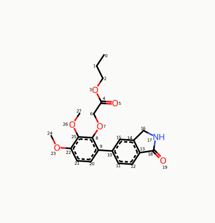 CCCOC(=O)COc1c(-c2ccc3c(c2)CNC3=O)ccc(OC)c1OC